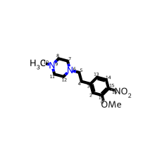 COc1cc(CCN2CCN(C)CC2)ccc1[N+](=O)[O-]